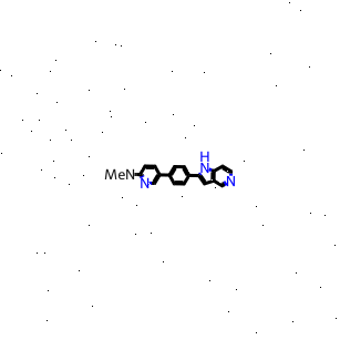 CNc1ccc(-c2ccc(-c3cc4cnccc4[nH]3)cc2)cn1